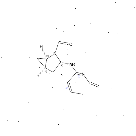 C=C/N=C(B[C@@H]1C[C@@]2(C)C[C@H]2N1C=O)\C=C/C